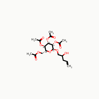 C=CCC(O)CO[C@H]1O[C@H](COC(C)=O)[C@@H](OC(C)=O)[C@H](OC(C)=O)[C@@H]1OC(C)=O